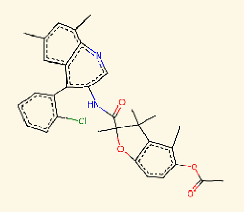 CC(=O)Oc1ccc2c(c1C)C(C)(C)C(C)(C(=O)Nc1cnc3c(C)cc(C)cc3c1-c1ccccc1Cl)O2